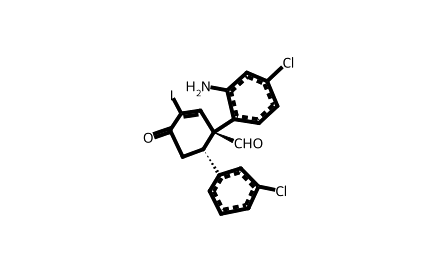 Nc1cc(Cl)ccc1[C@@]1(C=O)C=C(I)C(=O)C[C@H]1c1cccc(Cl)c1